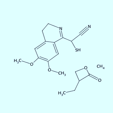 C.CCC1COC1=O.COc1cc2c(cc1OC)C(C(S)C#N)=NCC2